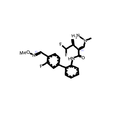 C=C(/C(=C\N(C)N)C(=O)Nc1ccccc1-c1ccc(/C=N/OC)c(F)c1)C(F)F